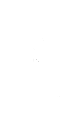 CCCC(=O)Nc1cccc(C=O)c1